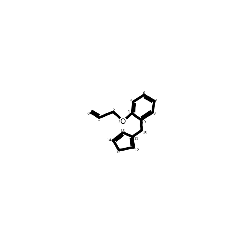 C=CCOc1ccccc1CC1=CCC=C1